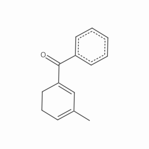 CC1=CCCC(C(=O)c2ccccc2)=C1